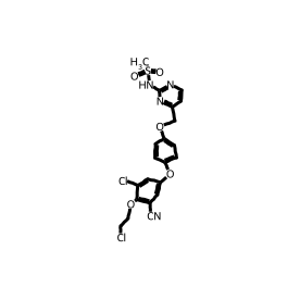 CS(=O)(=O)Nc1nccc(COc2ccc(Oc3cc(Cl)c(OCCCl)c(C#N)c3)cc2)n1